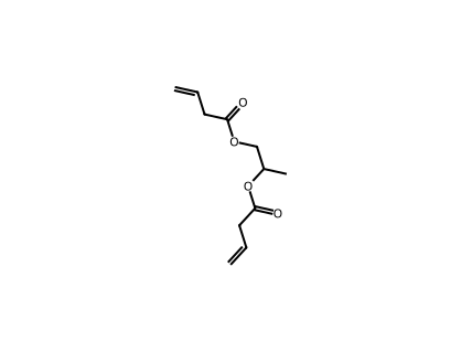 C=CCC(=O)OCC(C)OC(=O)CC=C